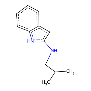 CC(C)CNc1cc2ccccc2[nH]1